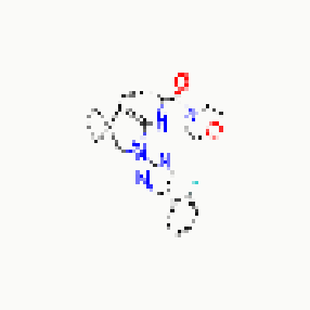 O=C(c1ccc2c(n1)N(c1ncc(-c3ccccc3F)cn1)CC21CCC1)N1CCOCC1